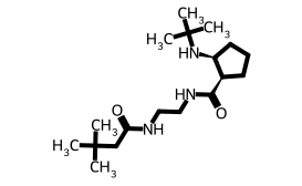 CC(C)(C)CC(=O)NCCNC(=O)[C@@H]1CCC[C@@H]1NC(C)(C)C